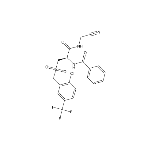 N#CCNC(=O)[C@H](CS(=O)(=O)Cc1cc(C(F)(F)F)ccc1Cl)NC(=O)c1ccccc1